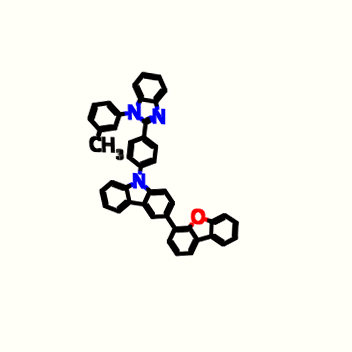 Cc1cccc(-n2c(-c3ccc(-n4c5ccccc5c5cc(-c6cccc7c6oc6ccccc67)ccc54)cc3)nc3ccccc32)c1